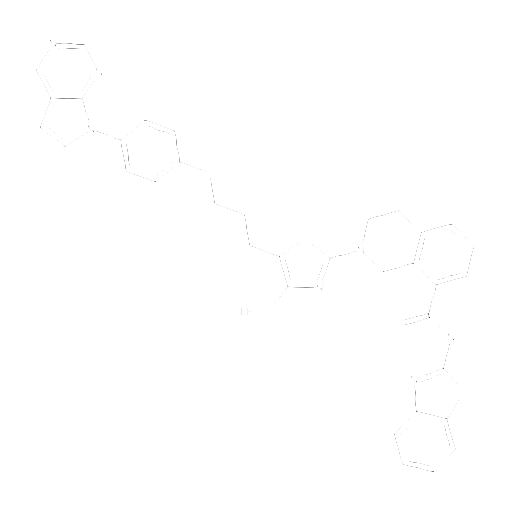 O=C(Nc1nc2ccccc2s1)c1cccc2c1CN(c1nc(C(=O)O)c(CCCOc3ccc(-n4ccc5cncnc54)cc3)s1)CC2